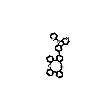 C1=C\c2ccc(-c3ccc4c(c3)c3ccncc3n4-c3ccccn3)cc2-c2ccccc2Oc2ccccc2-c2ccccc2/1